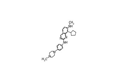 CNc1ccc2cnc(Nc3ccc(N4CCN(C)CC4)cc3)nc2c1C1CCCC1